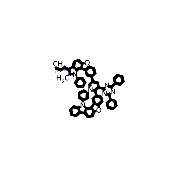 C=c1/c(=C\C=C/C)c2ccc3oc4ccc(-c5cnc(-c6ccc7oc8ccc9c%10ccccc%10n(-c%10ccccc%10)c9c8c7c6)c(-c6nc(-c7ccccc7)nc(-c7ccccc7)n6)c5)cc4c3c2n1-c1ccccc1